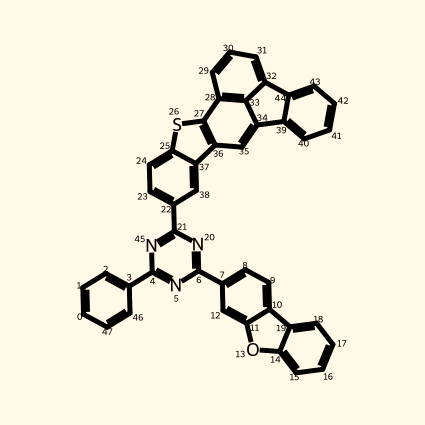 c1ccc(-c2nc(-c3ccc4c(c3)oc3ccccc34)nc(-c3ccc4sc5c6cccc7c6c(cc5c4c3)-c3ccccc3-7)n2)cc1